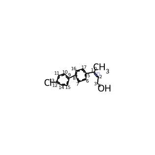 C/C(=C/CO)c1ccc(-c2ccc(Cl)cc2)cc1